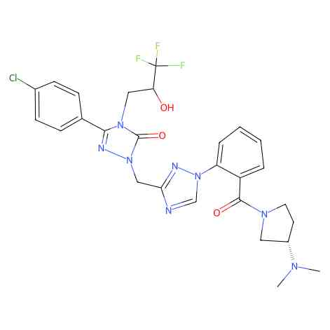 CN(C)[C@H]1CCN(C(=O)c2ccccc2-n2cnc(Cn3nc(-c4ccc(Cl)cc4)n(CC(O)C(F)(F)F)c3=O)n2)C1